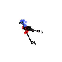 CCCCCCCCCCCCCCCC(=O)OCC(CSC[C@H](NC(=O)OC(C)(C)C)C(=O)NCCCn1cnc2c(N)nc3ccccc3c21)OC(=O)CCCCCCCCCCCCCCC